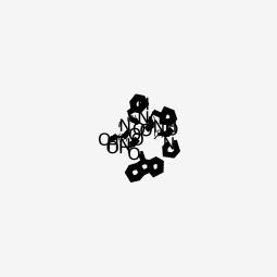 C[C@H](NC(=O)[C@H](Cc1ccccc1)NC(=O)[C@H](Cc1ccccc1)N(C)C(=O)[C@H](CC(=O)O)NC(=O)OCC1c2ccccc2-c2ccccc21)C(=O)N1CCCCC1